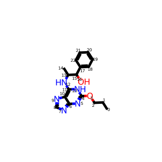 CCCOc1nc2ncnc-2c(NC(C)C(O)c2ccccc2)[nH]1